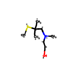 CN(CCO)CC(C)(C)SN=O